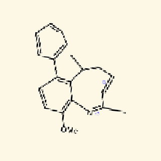 COc1ccc(-c2ccccc2)c2c1/N=C(C)\C=C\CC2C